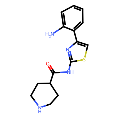 Nc1ccccc1-c1csc(NC(=O)C2CCNCC2)n1